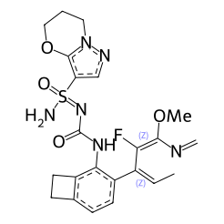 C=N/C(OC)=C(F)\C(=C/C)c1ccc2c(c1NC(=O)N=S(N)(=O)c1cnn3c1OCCC3)CC2